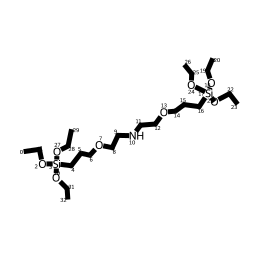 CCO[Si](CCCOCCNCCOCCC[Si](OCC)(OCC)OCC)(OCC)OCC